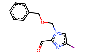 O=Cc1nc(I)cn1COCc1ccccc1